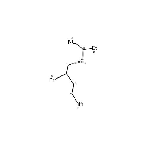 CCC(C#N)OCC(CCC(C)C)C(C)C